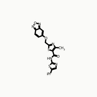 Cc1nc(COc2ccc3nonc3c2)sc1C(=O)Nc1ncc(C(C)C)s1